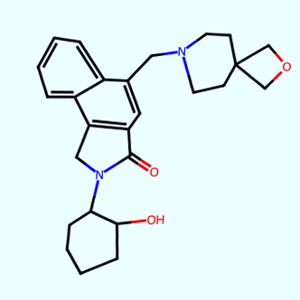 O=C1c2cc(CN3CCC4(CC3)COC4)c3ccccc3c2CN1C1CCCCC1O